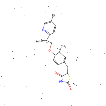 CCc1ccc([C@@H](COC2C=CC(CC3SC(=O)NC3=O)=CC2C)OC(C)=O)nc1